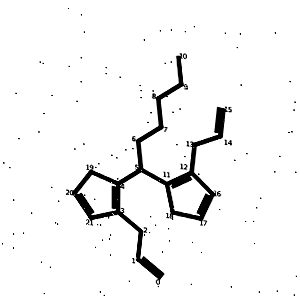 C=CCC1=C(C(CCCCC)C2=C(CC=C)C=CC2)CC=C1